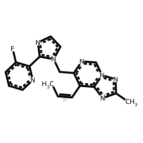 C/C=C\c1c(Cn2ccnc2-c2ncccc2F)ncn2nc(C)nc12